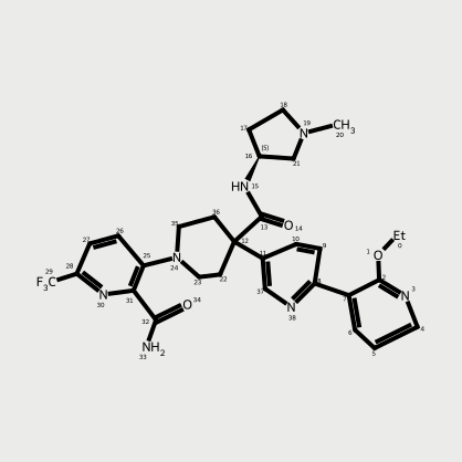 CCOc1ncccc1-c1ccc(C2(C(=O)N[C@H]3CCN(C)C3)CCN(c3ccc(C(F)(F)F)nc3C(N)=O)CC2)cn1